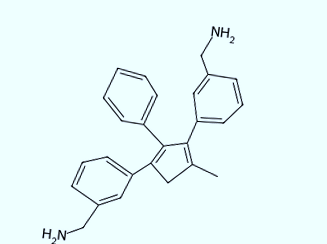 CC1=C(c2cccc(CN)c2)C(c2ccccc2)=C(c2cccc(CN)c2)C1